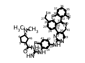 CN(C)C1CCC(C(=O)NC(=N)Nc2cc(Nc3ncc4c(n3)-c3ccc(CI)cc3C(c3c(F)cccc3F)=NC4)ccc2F)C1